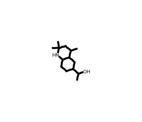 CC(O)C1CCC2NC(C)(C)CC(C)C2C1